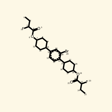 CCC(F)C(=O)OC1CCC(c2ccc(C3CCC(OC(=O)C(F)CC)CC3)c(Br)c2)CC1